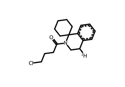 [2H]C1CN(C(=O)CCCCl)C2(CCCCC2)c2ccccc21